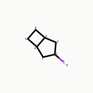 IC1CC2CCC2C1